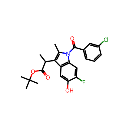 Cc1c(C(C)C(=O)OC(C)(C)C)c2cc(O)c(F)cc2n1C(=O)c1cccc(Cl)c1